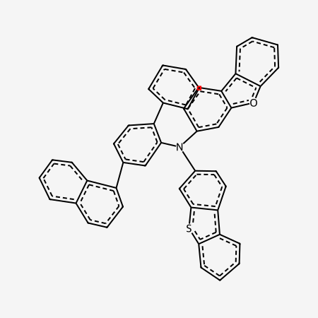 c1ccc(-c2ccc(-c3cccc4ccccc34)cc2N(c2ccc3c(c2)oc2ccccc23)c2ccc3c(c2)sc2ccccc23)cc1